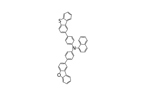 c1ccc2c(N(c3ccc(-c4ccc5oc6ccccc6c5c4)cc3)c3ccc(-c4ccc5sc6ccccc6c5c4)cc3)cccc2c1